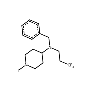 FC(F)(F)CCN(Cc1ccccc1)C1CCN(I)CC1